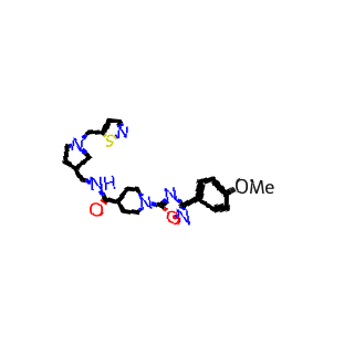 COc1ccc(-c2noc(N3CCC(C(=O)NCC4CCN(Cc5ccns5)C4)CC3)n2)cc1